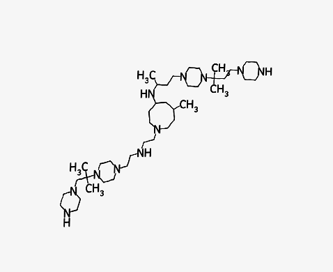 CC1CCN(CCNCCN2CCN(C(C)(C)CN3CCNCC3)CC2)CCC(NC(C)CCN2CCN(C(C)(C)CCN3CCNCC3)CC2)C1